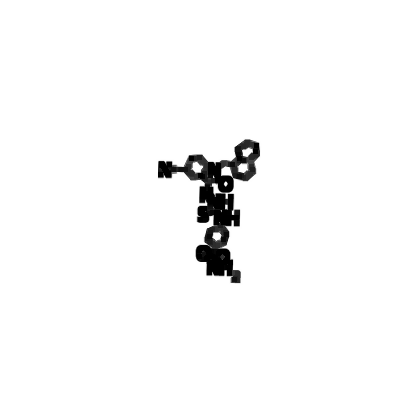 N#Cc1ccc2c(c1)C(=NNC(=S)Nc1ccc(S(N)(=O)=O)cc1)C(=O)N2Cc1cccc2ccccc12